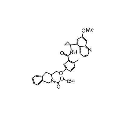 COc1cc(C2(NC(=O)c3cc(OCC4Cc5ccccc5CN4C(=O)OC(C)(C)C)ccc3C)CC2)c2cccnc2c1